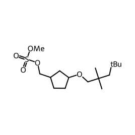 COS(=O)(=O)OCC1CCC(OCC(C)(C)CC(C)(C)C)C1